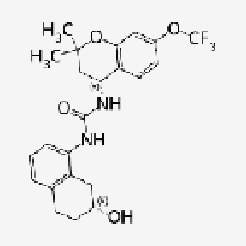 CC1(C)C[C@@H](NC(=O)Nc2cccc3c2C[C@H](O)CC3)c2ccc(OC(F)(F)F)cc2O1